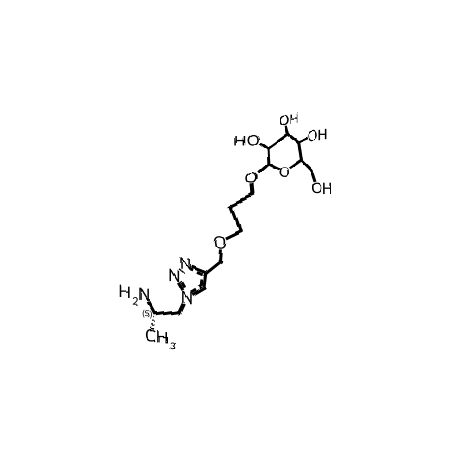 C[C@H](N)Cn1cc(COCCCOC2OC(CO)C(O)C(O)C2O)nn1